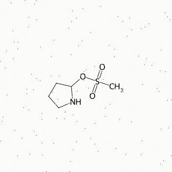 CS(=O)(=O)OC1CCCN1